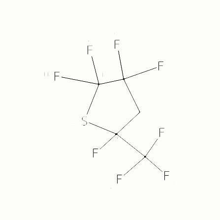 FC(F)(F)C1(F)CC(F)(F)C(F)(F)S1